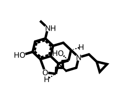 CNc1cc(O)c2c3c1C[C@H]1N(CC4CC4)CC[C@@]34[C@H](CCC[C@@]14O)O2